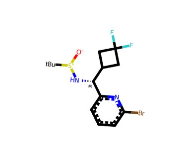 CC(C)(C)[S+]([O-])N[C@@H](c1cccc(Br)n1)C1CC(F)(F)C1